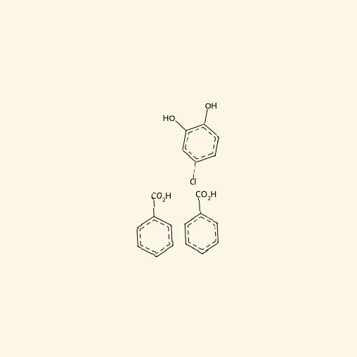 O=C(O)c1ccccc1.O=C(O)c1ccccc1.Oc1ccc(Cl)cc1O